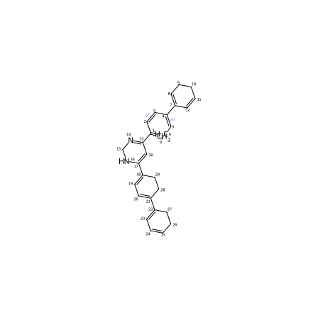 C=C(/C=C\C(=C/C)C1=CCCC=C1)C1=NCNC(C2=CC=C(C3=CC=CCC3)CC2)=C1